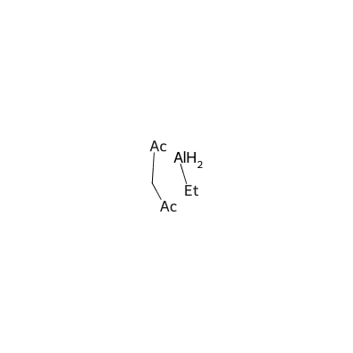 CC(=O)CC(C)=O.C[CH2][AlH2]